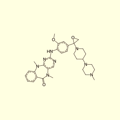 COc1cc(C2(N3CCC(N4CCN(C)CC4)CC3)CO2)ccc1Nc1ncc2c(n1)N(C)c1ccccc1C(=O)N2C